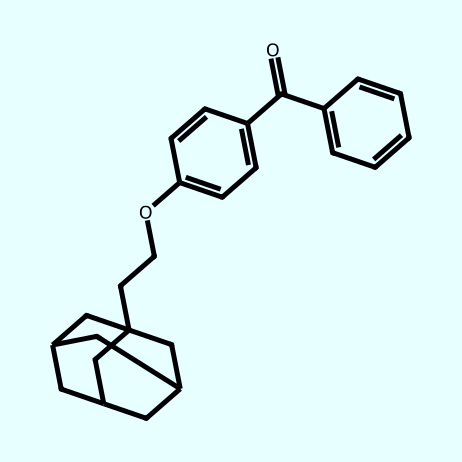 O=C(c1ccccc1)c1ccc(OCCC23CC4CC(CC(C4)C2)C3)cc1